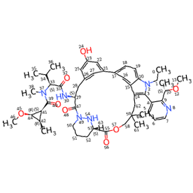 CCn1c(-c2cccnc2[C@H](C)OC)c2c3cc(ccc31)-c1cc(O)cc(c1)C[C@H](NC(=O)[C@H](C(C)C)N(C)C(=O)[C@H]1[C@@H](C)[C@H]1OC)C(=O)N1CCC[C@H](N1)C(=O)OCC(C)(C)C2